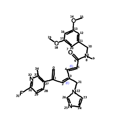 C=C(/C=C(\C=C\C(=O)N(C)Cc1cc(OC)cc(OC)c1)Cn1ccnc1)c1ccc(F)nc1C